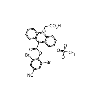 N#Cc1cc(Br)c(OC(=O)c2c3ccccc3[n+](CC(=O)O)c3ccccc23)c(Br)c1.O=S(=O)([O-])C(F)(F)F